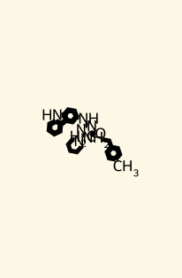 C=C(/N=C(\N=C(/N)N1CCCCC1)Nc1ccc2[nH]c3ccccc3c2c1)OCCc1ccc(C)cc1